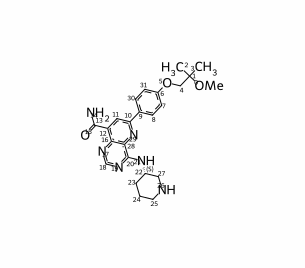 COC(C)(C)COc1ccc(-c2cc(C(N)=O)c3ncnc(N[C@H]4CCCNC4)c3n2)cc1